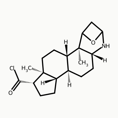 C[C@]12CC[C@H]3[C@@H](CC[C@H]4NC5CC(O5)[C@@]43C)[C@@H]1CC[C@@H]2C(=O)Cl